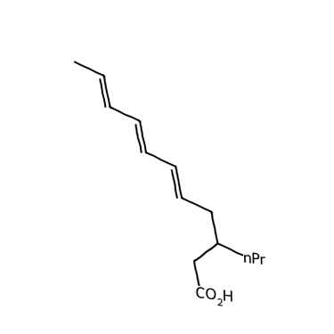 C/C=C/C=C/C=C/CC(CCC)CC(=O)O